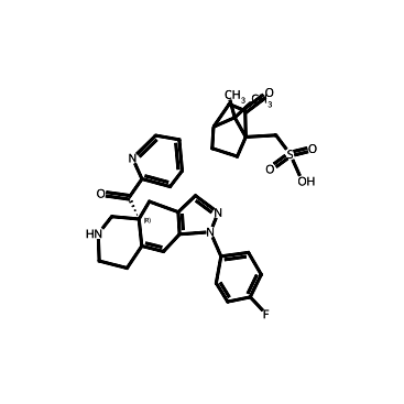 CC1(C)C2CCC1(CS(=O)(=O)O)C(=O)C2.O=C(c1ccccn1)[C@@]12CNCCC1=Cc1c(cnn1-c1ccc(F)cc1)C2